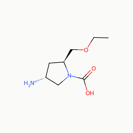 CCOC[C@@H]1C[C@@H](N)CN1C(=O)O